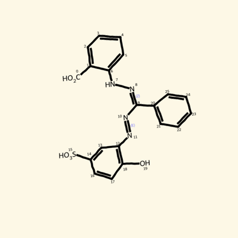 O=C(O)c1ccccc1N/N=C(\N=N\c1cc(S(=O)(=O)O)ccc1O)c1ccccc1